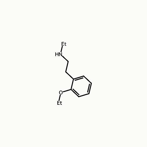 CCNCCc1ccccc1OCC